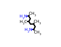 CC(N)CC(C)CC(C)CC(C)N